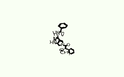 CO[C@@H](C(=O)N1Cc2[nH]nc(NC(=O)c3ccccc3)c2C1)c1ccccc1